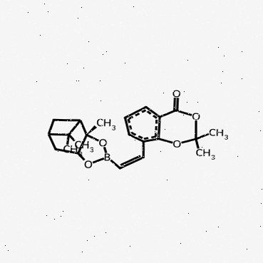 CC1(C)OC(=O)c2cccc(/C=C\B3OC4CC5CC(C5(C)C)[C@]4(C)O3)c2O1